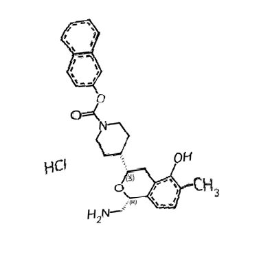 Cc1ccc2c(c1O)C[C@@H](C1CCN(C(=O)Oc3ccc4ccccc4c3)CC1)O[C@H]2CN.Cl